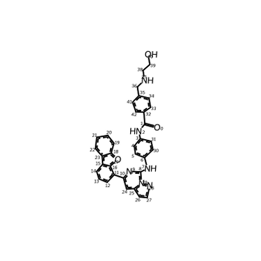 O=C(Nc1ccc(Nc2nc(-c3cccc4c3oc3ccccc34)cc3ccnn23)cc1)c1ccc(CNCCO)cc1